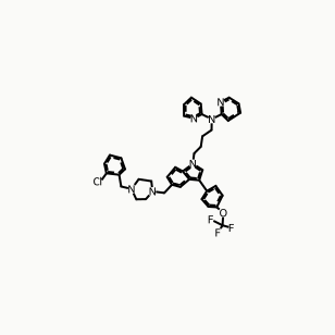 FC(F)(F)Oc1ccc(-c2cn(CCCCN(c3ccccn3)c3ccccn3)c3ccc(CN4CCN(Cc5ccccc5Cl)CC4)cc23)cc1